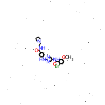 COc1ccc(Br)c(C(=O)Nc2cnc(Nc3ccc(C(=O)NCCN4CCCC4)cc3)nc2)c1